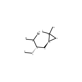 CC[C@@H](C[C@@H]1CC1(C)C)C(C)Br